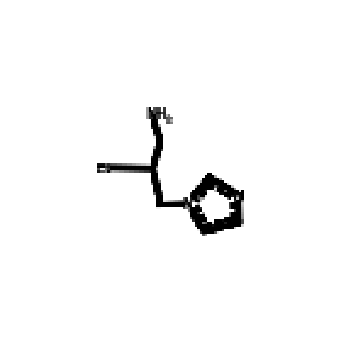 CCC(CN)Cn1ccnc1